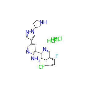 Cl.Cl.Cl.Nc1ncc(-c2cnn(C3CCNC3)c2)cc1-c1cc2c(Cl)ccc(F)c2cn1